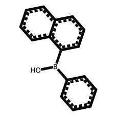 OB(c1ccccc1)c1cccc2ccccc12